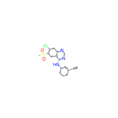 C#Cc1cccc(Nc2ncnc3cc(Cl)c(S(C)(=O)=O)cc23)c1